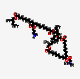 CCN(CC)CC(=O)OC(CCCCCCCCCC(=O)OCC(CCC(C)C)C(C)C)CCCCCCCCCC(=O)OCC(CCC(C)CCC(C)C(CCC(C)C)COC(=O)CCCCCCCCCC(CCCCCCCCCC(=O)OCC(CCC(C)C)C(C)C)C(=O)OCCCN(C)C)C(C)C